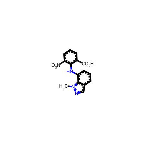 Cn1ncc2cccc(Nc3c(C(=O)O)cccc3[N+](=O)[O-])c21